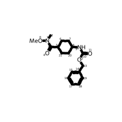 CON(C)C(=O)C1CCC(NC(=O)OCc2ccccc2)CC1